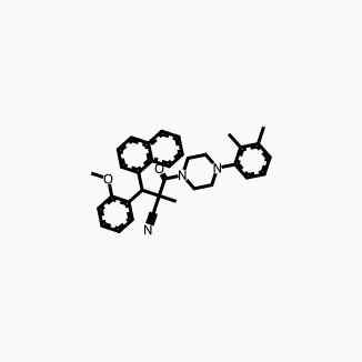 COc1ccccc1C(c1cccc2ccccc12)C(C)(C#N)C(=O)N1CCN(c2cccc(C)c2C)CC1